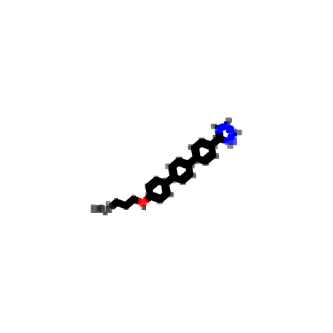 CCOC(=O)CCCOc1ccc(-c2ccc(-c3ccc(-c4nnn[nH]4)cc3)cc2)cc1